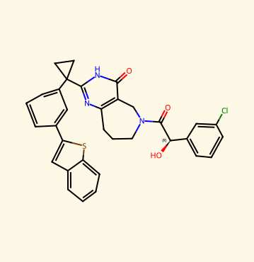 O=C([C@H](O)c1cccc(Cl)c1)N1CCCc2nc(C3(c4cccc(-c5cc6ccccc6s5)c4)CC3)[nH]c(=O)c2C1